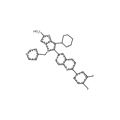 O=C(O)c1cc2c(s1)c(C1CCCCC1)c(-c1ccc3nc(-c4ccc(F)c(F)c4)ccc3c1)n2Cc1ccncc1